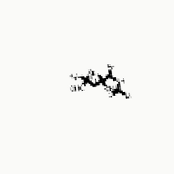 CCC(=O)NC(C(C)=O)C(C)(CC)CC(C)(C)C=O